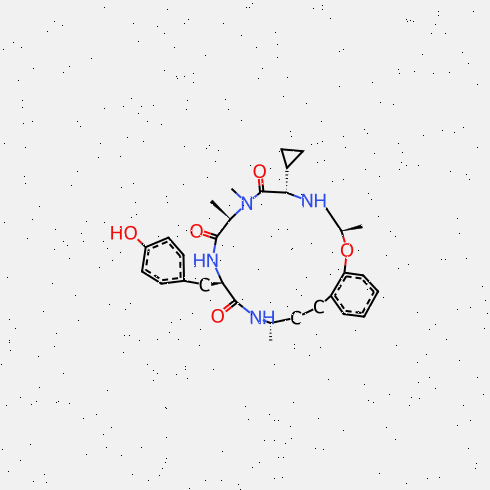 C[C@@H]1CN[C@@H](C2CC2)C(=O)N(C)[C@H](C)C(=O)N[C@H](Cc2ccc(O)cc2)C(=O)N[C@@H](C)CCc2ccccc2O1